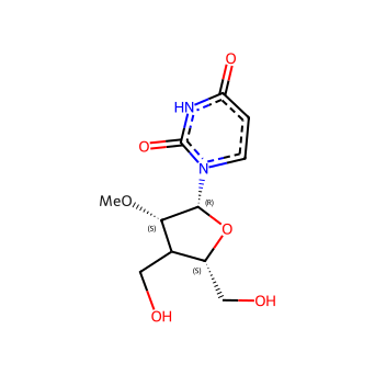 CO[C@H]1C(CO)[C@@H](CO)O[C@H]1n1ccc(=O)[nH]c1=O